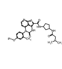 Cc1cc(OC(C)C)ccc1N1C(=O)Nc2c(C(=O)NC3CCC(NC(=O)CN(C)C)C3)sc3nccc1c23